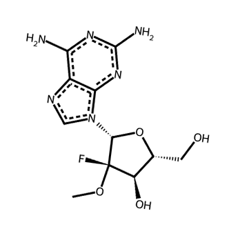 CO[C@@]1(F)[C@H](O)[C@@H](CO)O[C@H]1n1cnc2c(N)nc(N)nc21